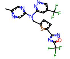 Cc1cnc(N(Cc2ccc(-c3noc(C(F)(F)F)n3)s2)c2cc(C(F)(F)F)cnn2)cn1